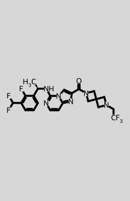 C[C@@H](Nc1nccc2nc(C(=O)N3CC4(CN(CC(F)(F)F)C4)C3)cn12)c1cccc(C(F)F)c1F